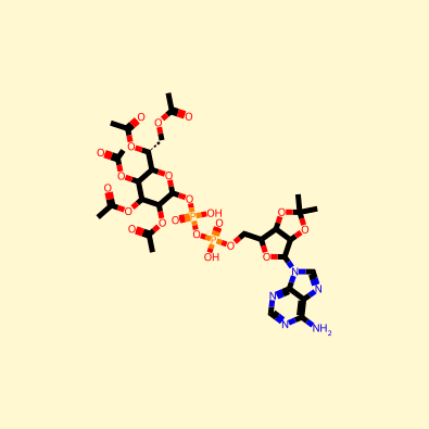 CC(=O)OC[C@@H](OC(C)=O)C1OC(OP(=O)(O)OP(=O)(O)OCC2OC(n3cnc4c(N)ncnc43)C3OC(C)(C)OC23)C(OC(C)=O)C(OC(C)=O)C1OC(C)=O